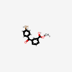 COC(=O)c1cccc(C(=O)c2ccc(S)cc2)c1